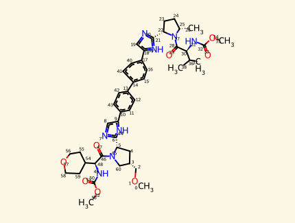 COC[C@H]1C[C@@H](c2ncc(-c3ccc(-c4ccc(-c5cnc([C@@H]6CC[C@H](C)N6C(=O)[C@@H](NC(=O)OC)C(C)C)[nH]5)cc4)cc3)[nH]2)N(C(=O)[C@@H](NC(=O)OC)C2CCOCC2)C1